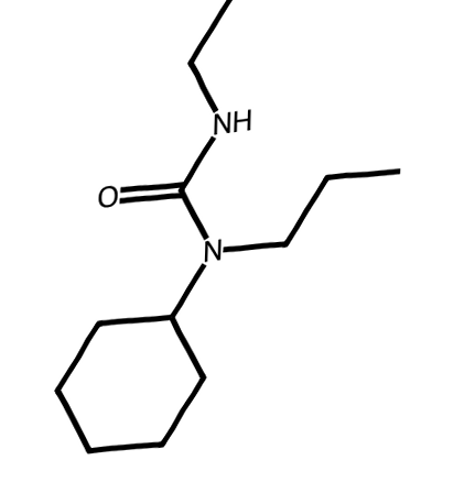 CCCN(C(=O)NCC)C1CCCCC1